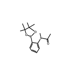 CC(=O)N(C)c1ccccc1B1OC(C)(C)C(C)(C)O1